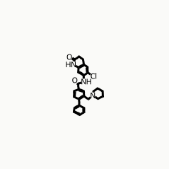 O=C1CCc2cc(Cl)c(NC(=O)c3ccc(-c4ccccc4)c(CN4CCCCC4)c3)cc2N1